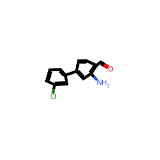 Nc1cc(-c2cccc(Cl)c2)ccc1C=O